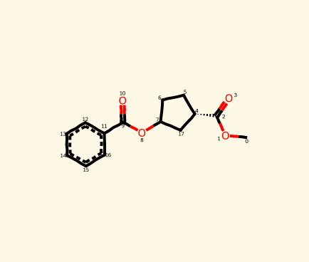 COC(=O)[C@H]1CCC(OC(=O)c2ccccc2)C1